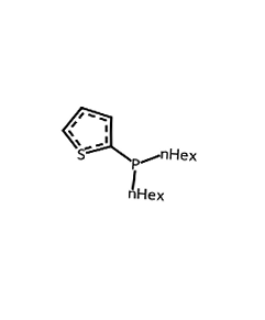 CCCCCCP(CCCCCC)c1cccs1